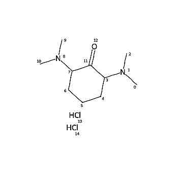 CN(C)C1CCCC(N(C)C)C1=O.Cl.Cl